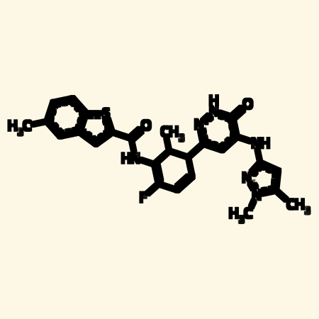 Cc1ccc2sc(C(=O)NC3=C(F)C=CC(c4cc(Nc5cc(C)n(C)n5)c(=O)[nH]n4)C3C)cc2c1